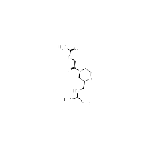 CC(=O)OCC(=O)N1CCOC(CNC(C)C)C1